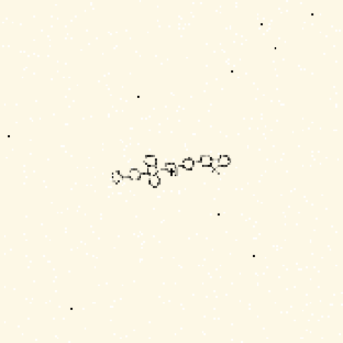 CC1(C)c2ccccc2-c2ccc(-c3ccc(-c4ccc(-c5c6ccccc6c(-c6ccc(-c7ccccc7)cc6)c6ccccc56)cn4)cc3)cc21